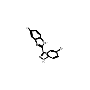 Clc1ccc2[nH]c(-c3n[nH]c4ccc(Br)cc34)nc2c1